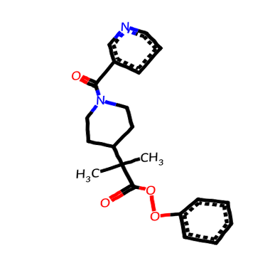 CC(C)(C(=O)OOc1ccccc1)C1CCN(C(=O)c2cccnc2)CC1